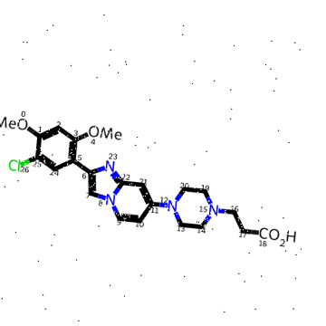 COc1cc(OC)c(-c2cn3ccc(N4CCN(CCC(=O)O)CC4)cc3n2)cc1Cl